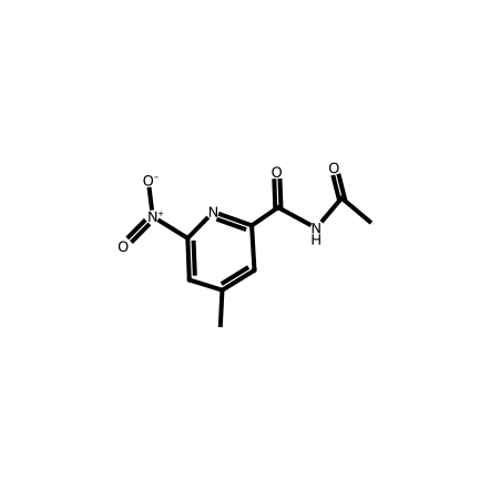 CC(=O)NC(=O)c1cc(C)cc([N+](=O)[O-])n1